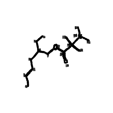 CCCCC(CC)COC(=O)C(C)(C)N(C)C